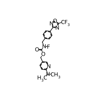 CN(C)c1ccc(COC(=O)N(F)Cc2ccc(-c3noc(C(F)(F)F)n3)cc2)cn1